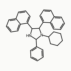 c1ccc(C2NC(c3cccc4ccccc34)C(c3cccc4ccccc34)N2C2CCCCC2)cc1